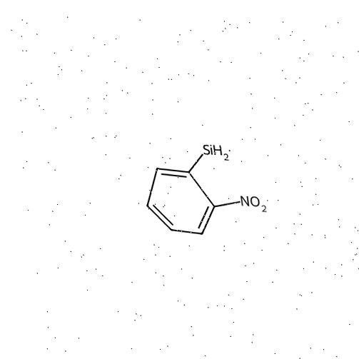 O=[N+]([O-])c1ccccc1[SiH2]